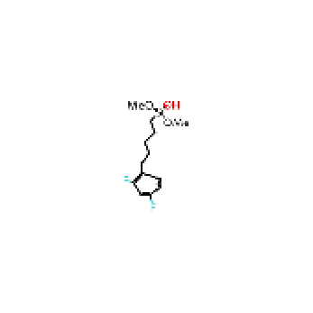 CO[Si](O)(CCCCCc1ccc(F)cc1F)OC